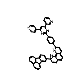 c1cncc(-c2cc(-c3ccncc3)nc(-c3ccc(-c4ccc5ccc6ccc(-c7ccc8c(c7)-c7cccc9cccc-8c79)nc6c5n4)cc3)n2)c1